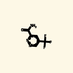 NC(=O)c1cc(C(F)(F)F)cnn1